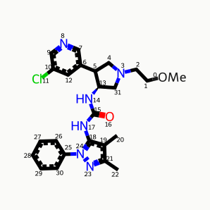 COCCN1CC(c2cncc(Cl)c2)[C@H](NC(=O)Nc2c(C)c(C)nn2-c2ccccc2)C1